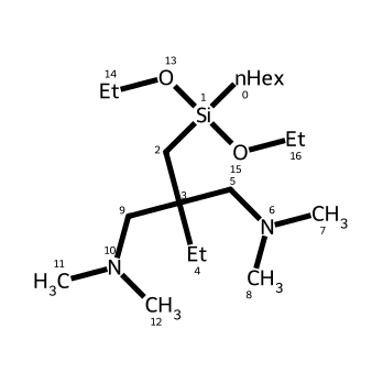 CCCCCC[Si](CC(CC)(CN(C)C)CN(C)C)(OCC)OCC